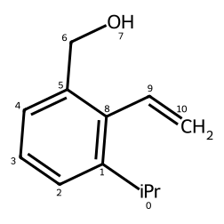 [CH2]C(C)c1cccc(CO)c1C=C